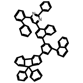 c1ccc(-c2nc(-c3ccccc3-c3ccccc3)cc(-c3ccc(-c4cc(-c5ccc6c(c5)-c5ccccc5C6(c5ccccc5)c5ccccc5)cc(-c5cccc6ccccc56)c4)c4ccccc34)n2)cc1